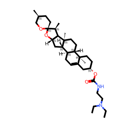 CCN(CC)CCNC(=O)O[C@H]1CC[C@@]2(C)C(=CC[C@@H]3[C@@H]2CC[C@]2(C)C4[C@H](C[C@@H]32)O[C@@]2(CC[C@H](C)CO2)[C@H]4C)C1